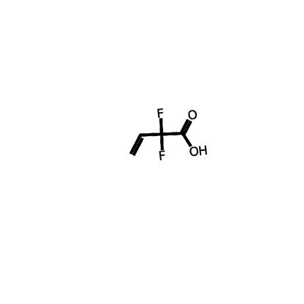 C=CC(F)(F)C(=O)O